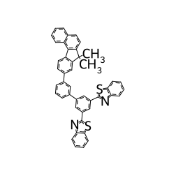 CC1(C)c2cc(-c3cccc(-c4cc(-c5nc6ccccc6s5)cc(-c5nc6ccccc6s5)c4)c3)ccc2-c2c1ccc1ccccc21